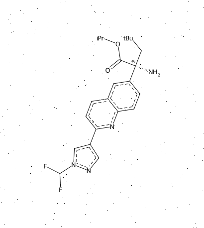 CC(C)OC(=O)[C@@](N)(CC(C)(C)C)c1ccc2nc(-c3cnn(C(F)F)c3)ccc2c1